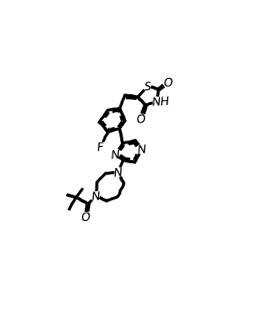 CC(C)(C)C(=O)N1CCCN(c2cncc(-c3cc(C=C4SC(=O)NC4=O)ccc3F)n2)CC1